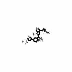 CC(=O)c1ccc(-c2cncc3[nH]c(-c4n[nH]c5ccc(-c6cncc(N)c6)cc45)cc23)s1